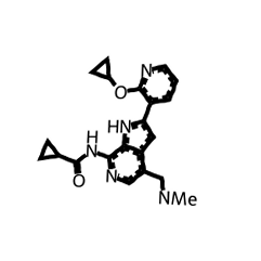 CNCc1cnc(NC(=O)C2CC2)c2[nH]c(-c3cccnc3OC3CC3)cc12